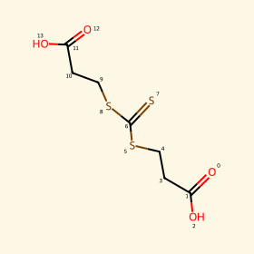 O=C(O)CCSC(=S)SCCC(=O)O